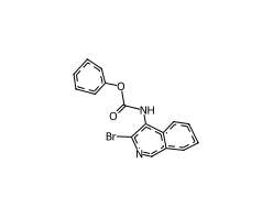 O=C(Nc1c(Br)ncc2ccccc12)Oc1ccccc1